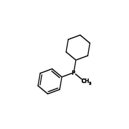 CP(c1ccccc1)C1CCCCC1